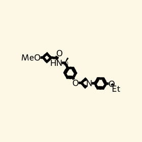 CCOc1ccc(N2CC(Oc3ccc([C@H](C)NC(=O)C4CC(OC)C4)cc3)C2)cc1